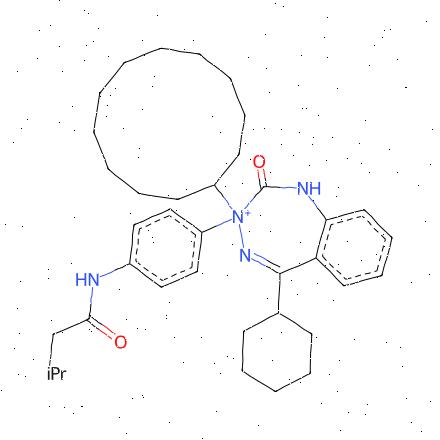 CC(C)CC(=O)Nc1ccc([N+]2(C3CCCCCCCCCCC3)N=C(C3CCCCC3)c3ccccc3NC2=O)cc1